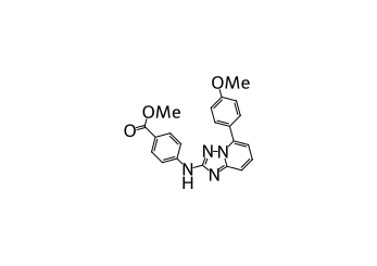 COC(=O)c1ccc(Nc2nc3cccc(-c4ccc(OC)cc4)n3n2)cc1